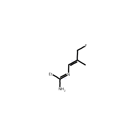 CC/C(N)=N\C=C(/C)CF